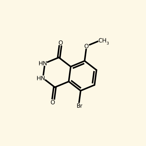 COc1ccc(Br)c2c(=O)[nH][nH]c(=O)c12